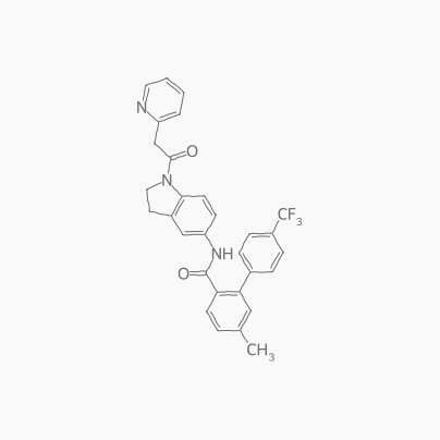 Cc1ccc(C(=O)Nc2ccc3c(c2)CCN3C(=O)Cc2ccccn2)c(-c2ccc(C(F)(F)F)cc2)c1